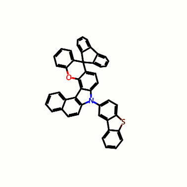 c1ccc2c(c1)Oc1c(ccc3c1c1c4ccccc4ccc1n3-c1ccc3sc4ccccc4c3c1)C21c2ccccc2-c2ccccc21